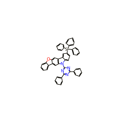 c1ccc(-c2nc(-c3ccccc3)nc(-n3c4ccc([Si](c5ccccc5)(c5ccccc5)c5ccccc5)cc4c4cc5oc6ccccc6c5cc43)n2)cc1